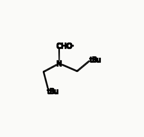 CC(C)(C)CN([C]=O)CC(C)(C)C